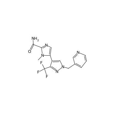 Cn1c(-c2cn(Cc3cccnc3)nc2C(F)(F)F)cnc1C(N)=O